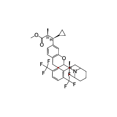 COC(=O)[C@@H](C)[C@H](c1ccc2c(c1)OC(C1CC3CCCC(C1)N3[C@H](C)c1cc(C(F)(F)F)ccc1C(F)(F)F)CC2)C1CC1